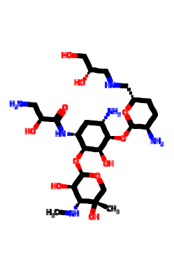 CN[C@@H]1[C@@H](O)[C@@H](O[C@@H]2[C@H](O)[C@H](O[C@H]3O[C@H](CNC[C@H](O)CO)CC[C@H]3N)[C@@H](N)C[C@H]2NC(=O)[C@@H](O)CN)OC[C@]1(C)O